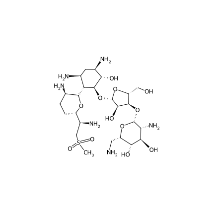 CS(=O)(=O)C[C@H](N)[C@@H]1CC[C@@H](N)C([C@H]2[C@H](O[C@@H]3O[C@H](CO)[C@@H](O[C@H]4O[C@@H](CN)[C@@H](O)[C@H](O)[C@H]4N)[C@H]3O)[C@@H](O)[C@H](N)C[C@@H]2N)O1